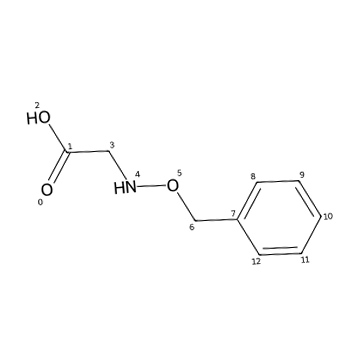 O=C(O)CNOCc1ccccc1